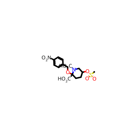 CS(=O)(=O)OC1CCC(OCc2ccc([N+](=O)[O-])cc2)(C(=O)O)N(C(=O)O)C1